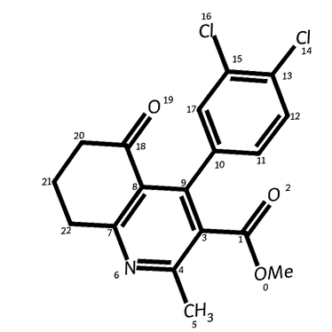 COC(=O)c1c(C)nc2c(c1-c1ccc(Cl)c(Cl)c1)C(=O)CCC2